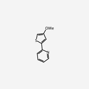 COc1csc(-c2ccccn2)c1